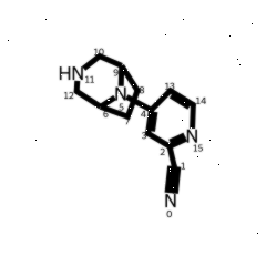 N#Cc1cc(N2C3CCC2CNC3)ccn1